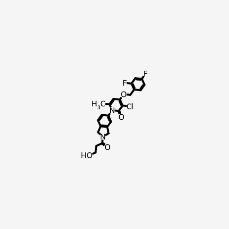 Cc1cc(OCc2ccc(F)cc2F)c(Cl)c(=O)n1-c1ccc2c(c1)CN(C(=O)CCO)C2